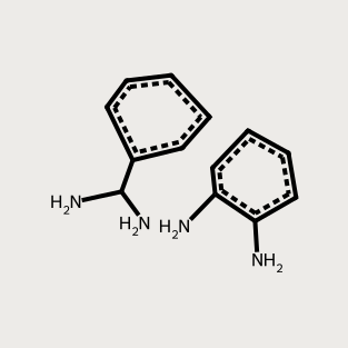 NC(N)c1ccccc1.Nc1ccccc1N